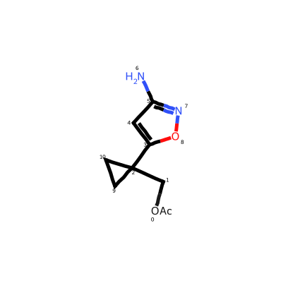 CC(=O)OCC1(c2cc(N)no2)CC1